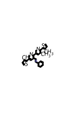 Cc1cc(-c2ncc(-c3sccc3C)cc2/C=C/c2ccccc2)cnc1-c1sccc1C